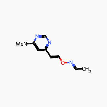 C/C=N/O/C=C/c1cc(NC)ncn1